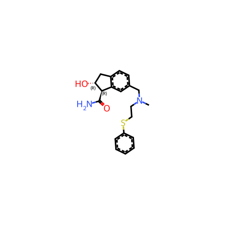 CN(CCSc1ccccc1)Cc1ccc2c(c1)[C@@H](C(N)=O)[C@H](O)C2